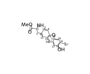 COC(=O)C(N)Cc1ccc(Oc2ccc(O)c(I)c2)c(I)c1